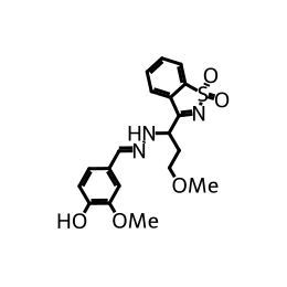 COCCC(N/N=C/c1ccc(O)c(OC)c1)C1=NS(=O)(=O)c2ccccc21